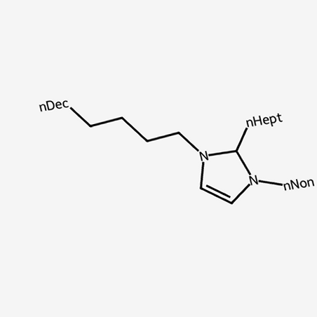 CCCCCCCCCCCCCCN1C=CN(CCCCCCCCC)C1CCCCCCC